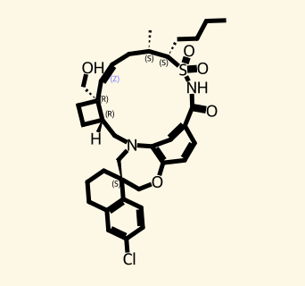 CCCC[C@H]1[C@@H](C)C/C=C\[C@]2(CO)CC[C@H]2CN2C[C@@]3(CCCc4cc(Cl)ccc43)COc3ccc(cc32)C(=O)NS1(=O)=O